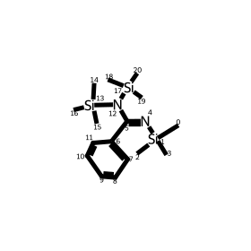 C[Si](C)(C)N=C(c1ccccc1)N([Si](C)(C)C)[Si](C)(C)C